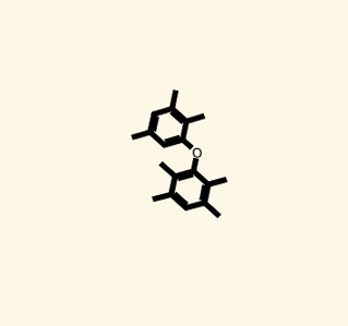 Cc1cc(C)c(C)c(Oc2c(C)c(C)cc(C)c2C)c1